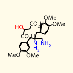 COc1ccc(CC(N)(CN)Cc2ccc(OC)c(OC)c2)cc1OC.O=C(O)CC(O)C(=O)O